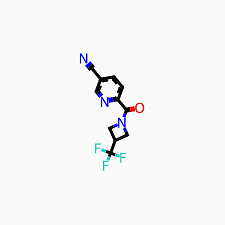 N#Cc1ccc(C(=O)N2CC(C(F)(F)F)C2)nc1